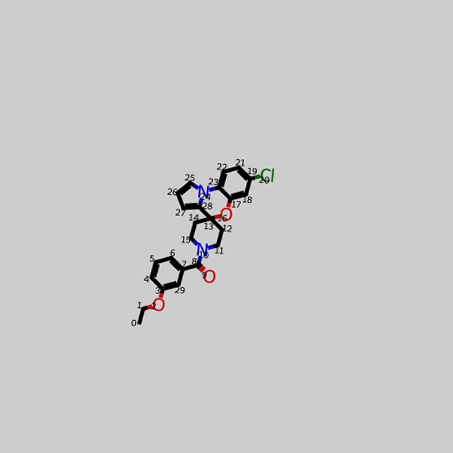 CCOc1cccc(C(=O)N2CCC3(CC2)Oc2cc(Cl)ccc2-n2cccc23)c1